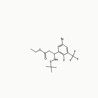 CCOC(=O)CC(NSC(C)(C)C)c1cc(Br)cc(C(F)(F)F)c1F